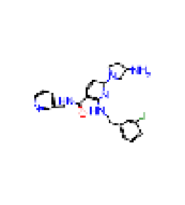 N[C@@H]1CCN(c2ccc(C(=O)NCc3cccnc3)c(NCCc3cccc(F)c3)n2)C1